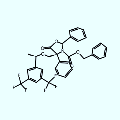 C[C@@H](OC[C@@]1(c2ccccc2)C(=O)OC(c2ccccc2)N1C(=O)OCc1ccccc1)c1cc(C(F)(F)F)cc(C(F)(F)F)c1